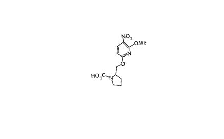 COc1nc(OCC2CCCN2C(=O)O)ccc1[N+](=O)[O-]